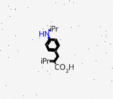 CC(C)Nc1ccc(C[C@@H](C(=O)O)C(C)C)cc1